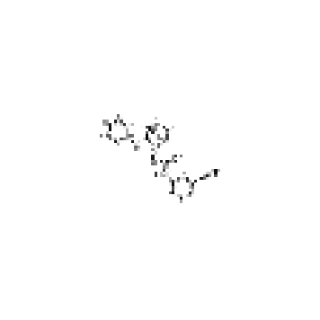 N#Cc1cccc(NC(=O)OC2C3CCN(CC3)C2Cc2cccnc2)c1